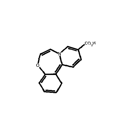 O=C(O)C1=CN2C=COC3=CC=CCC3=C2C=C1